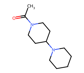 CC(=O)N1CCC(N2CC[CH]CC2)CC1